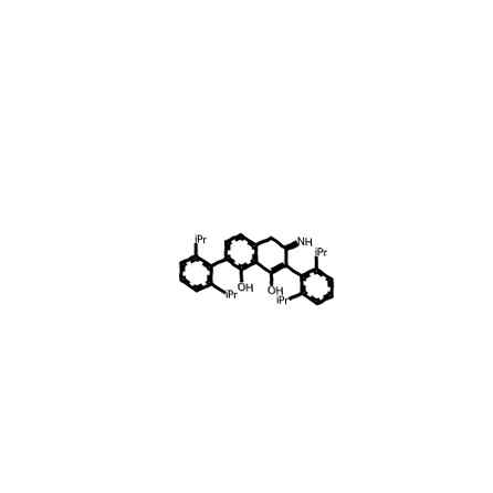 CC(C)c1cccc(C(C)C)c1C1=C(O)c2c(ccc(-c3c(C(C)C)cccc3C(C)C)c2O)CC1=N